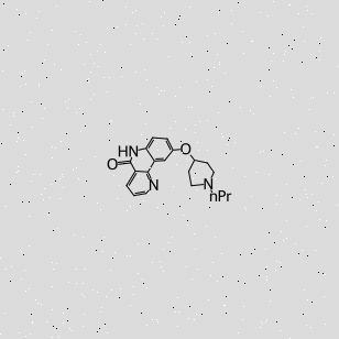 CCCN1CCC(Oc2ccc3[nH]c(=O)c4cccnc4c3c2)CC1